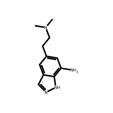 CN(C)CCc1cc(N)c2[nH]ncc2c1